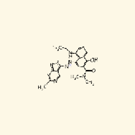 CCNc1cccc2c(O)c(C(=O)N(C)C)cc(/N=N/c3snc4nc(C)ncc34)c12